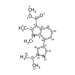 COC(=O)c1c(C)n(C)c2c(-c3cnn(C(C)C)c3)cccc12